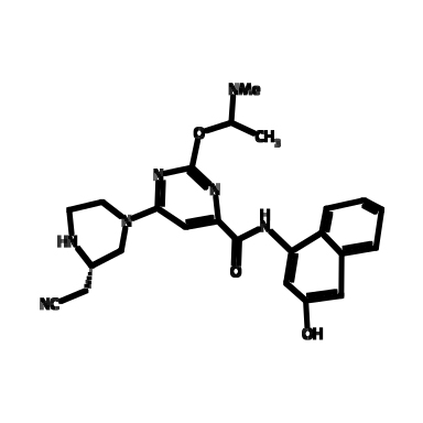 CNC(C)Oc1nc(C(=O)Nc2cc(O)cc3ccccc23)cc(N2CCN[C@@H](CC#N)C2)n1